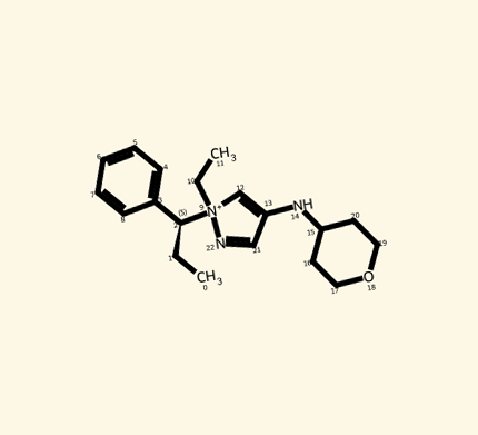 CC[C@@H](c1ccccc1)[N+]1(CC)C=C(NC2CCOCC2)C=N1